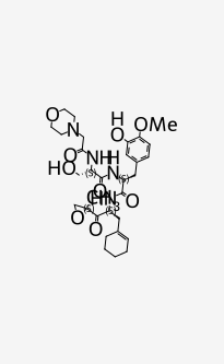 COc1ccc(C[C@H](NC(=O)[C@H](CO)NC(=O)CN2CCOCC2)C(=O)N[C@@H](CC2=CCCCC2)C(=O)[C@]2(C)CO2)cc1O